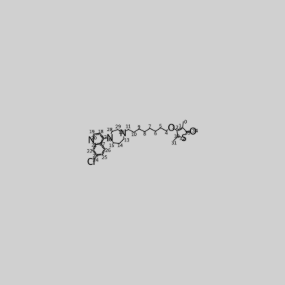 CC1=C(OCCCCCCCCN2CCCN(c3ccnc4cc(Cl)ccc34)CC2)C(C)SC1=O